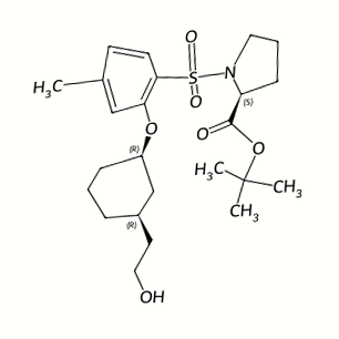 Cc1ccc(S(=O)(=O)N2CCC[C@H]2C(=O)OC(C)(C)C)c(O[C@@H]2CCC[C@H](CCO)C2)c1